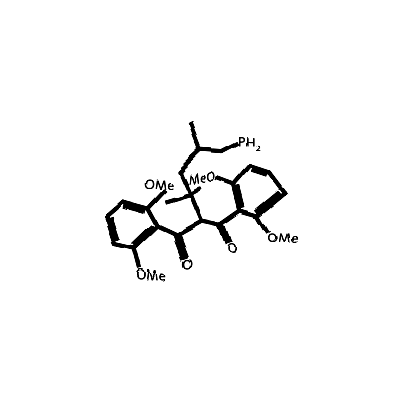 COc1cccc(OC)c1C(=O)C(C(=O)c1c(OC)cccc1OC)C(C)(C)CC(C)CP